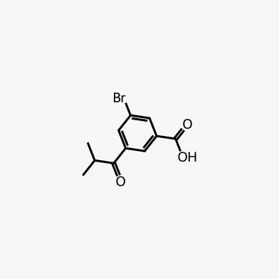 CC(C)C(=O)c1cc(Br)cc(C(=O)O)c1